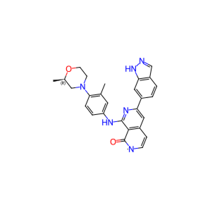 Cc1cc(Nc2nc(-c3ccc4cn[nH]c4c3)cc3c2C(=O)[N]C=C3)ccc1N1CCO[C@H](C)C1